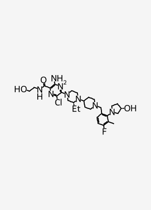 CC[C@H]1CN(c2nc(N)c(C(=O)NCCO)nc2Cl)CCN1C1CCN(Cc2ccc(F)c(C)c2N2CC[C@@H](O)C2)CC1